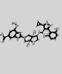 COC(=O)c1cc(OC(C)C)c2nc(N3C[C@H]4[C@@H](OCc5c(-c6c(Cl)cccc6Cl)noc5C5CC5)CO[C@H]4C3)sc2c1